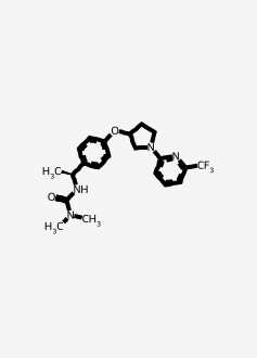 C[C@H](NC(=O)N(C)C)c1ccc(OC2CCN(c3cccc(C(F)(F)F)n3)C2)cc1